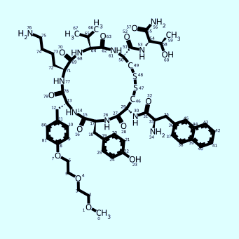 COCCOCCOc1ccc(C[C@H]2NC(=O)[C@H](Cc3ccc(O)cc3)NC(=O)[C@@H](NC(=O)[C@H](N)Cc3ccc4ccccc4c3)CSSC[C@@H](C(=O)N[C@H](C(N)=O)[C@@H](C)O)NC(=O)[C@H](C(C)C)NC(=O)[C@H](CCCCN)NC2=O)cc1